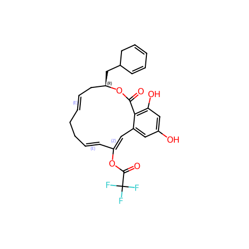 O=C1O[C@H](CC2C=CC=CC2)C/C=C/CC/C=C/C(OC(=O)C(F)(F)F)=C/c2cc(O)cc(O)c21